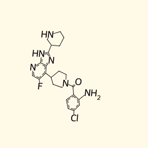 Nc1cc(Cl)ccc1C(=O)N1CCC(c2c(F)cnc3[nH]c(C4CCCNC4)nc23)CC1